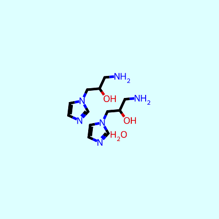 NCC(O)Cn1ccnc1.NCC(O)Cn1ccnc1.O